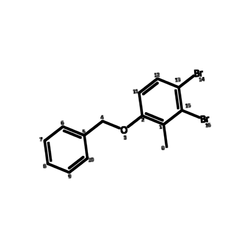 Cc1c(OCc2ccccc2)ccc(Br)c1Br